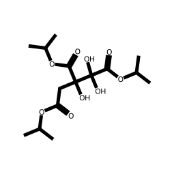 CC(C)OC(=O)CC(O)(C(=O)OC(C)C)C(O)(O)C(=O)OC(C)C